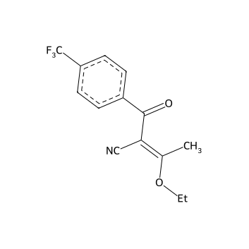 CCO/C(C)=C(\C#N)C(=O)c1ccc(C(F)(F)F)cc1